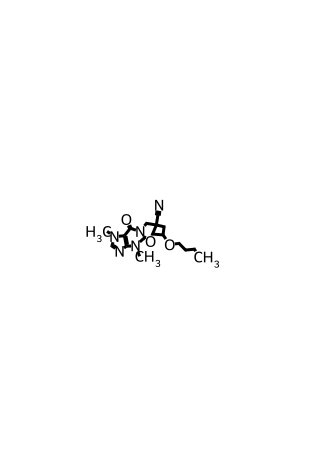 CCCCOC1CC(C#N)(Cn2c(=O)c3c(ncn3C)n(C)c2=O)C1